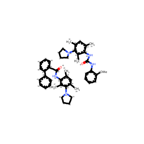 COc1ccccc1NC(=O)Nc1c(C)cc(C)c(N2CCCC2)c1C.Cc1cc(C)c(N2CCCC2)c(C)c1NC(=O)c1ccccc1-c1ccccc1